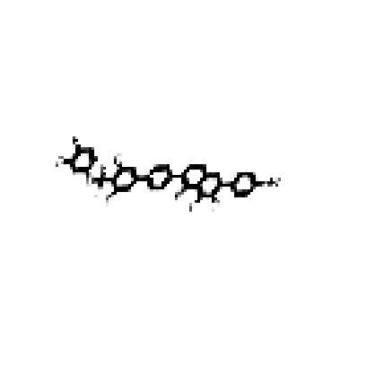 CCCc1ccc(-c2cc3ccc(-c4ccc(-c5cc(F)c(C(F)(F)Oc6ccc(F)c(F)c6)c(F)c5)cc4)c(F)c3c(F)c2F)cc1